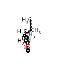 CCCCCCCC(C)CCCC(C)[C@H]1CC[C@H]2[C@@H]3CC=C4C[C@@H](OC(=O)c5ccccc5)CC[C@]4(C)[C@H]3CC[C@]12C